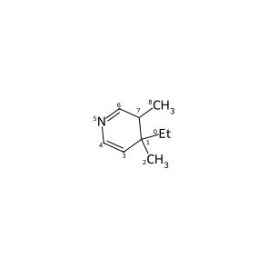 CCC1(C)C=CN=CC1C